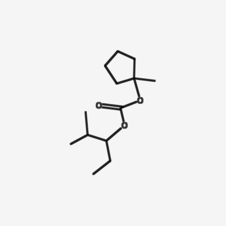 CCC(OC(=O)OC1(C)CCCC1)C(C)C